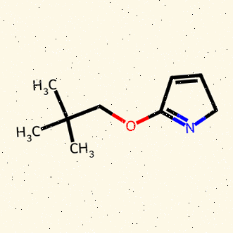 CC(C)(C)COC1=NCC=C1